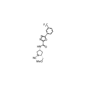 COC[C@H]1C[C@@H](NC(=O)c2nnc(-c3cccc(C(F)(F)F)c3)o2)CN1C#N